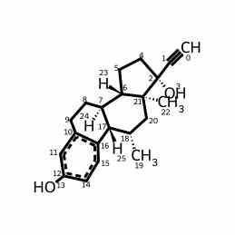 C#C[C@]1(O)CC[C@H]2[C@@H]3CCc4cc(O)ccc4[C@H]3[C@@H](C)C[C@@]21C